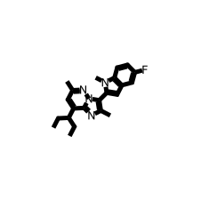 CCC(CC)c1cc(C)nn2c(-c3cc4cc(F)ccc4n3C)c(C)nc12